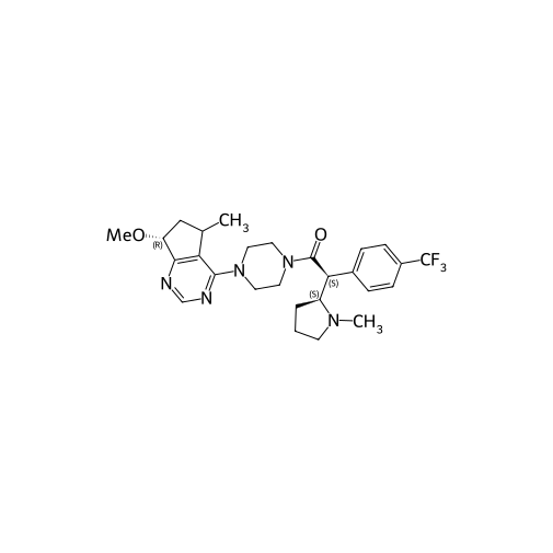 CO[C@@H]1CC(C)c2c1ncnc2N1CCN(C(=O)[C@@H](c2ccc(C(F)(F)F)cc2)[C@@H]2CCCN2C)CC1